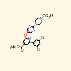 COC(=O)c1cc(Oc2cnc(N3CCN(C(=O)O)CC3)nc2)nc(-c2cc(Cl)cc(Cl)c2)c1